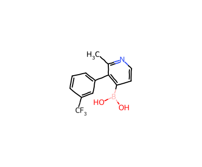 Cc1nccc(B(O)O)c1-c1cccc(C(F)(F)F)c1